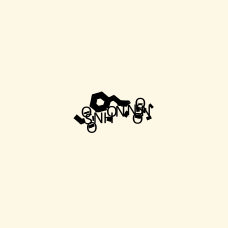 CCS(=O)(=O)Nc1cccc(Cc2cn(S(=O)(=O)N(C)C)cn2)c1OC